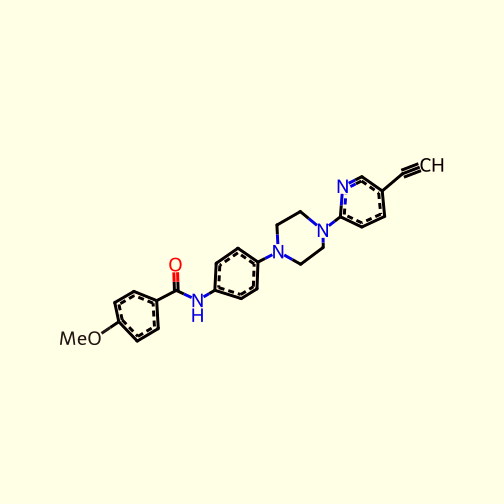 C#Cc1ccc(N2CCN(c3ccc(NC(=O)c4ccc(OC)cc4)cc3)CC2)nc1